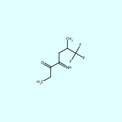 [CH2]C(CC(=N)C(=O)CC)C(F)(F)F